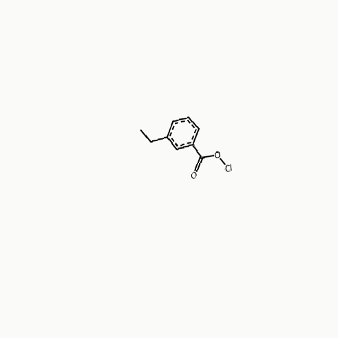 CCc1cccc(C(=O)OCl)c1